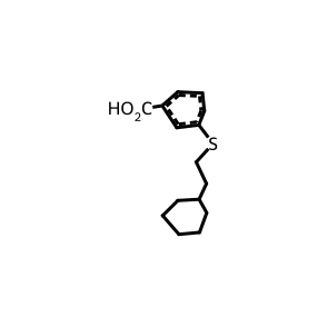 O=C(O)c1cccc(SCCC2CCCCC2)c1